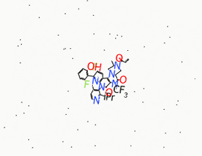 C=CC(=O)N1CC2C(=O)N(C(F)(F)F)c3c(c4cc(F)c(-c5c(O)cccc5F)nc4n(-c4c(C)ccnc4C(C)C)c3=O)N2CC1C